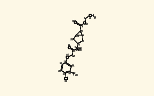 CCOC(=O)C1C2CC(NC(=O)COc3ccc(Cl)c(F)c3)CC21